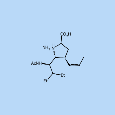 C/C=C\[C@@H]1C[C@H](C(=O)O)N[C@H]1[C@H](NC(C)=O)C(CC)CC.N